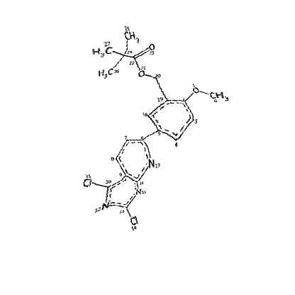 COc1ccc(-c2ccc3c(Cl)nc(Cl)nc3n2)cc1COC(=O)C(C)(C)C